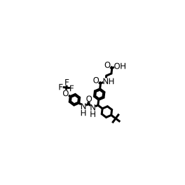 CC(C)(C)C1CCC(C(NC(=O)Nc2ccc(OC(F)(F)F)cc2)c2ccc(C(=O)NCCC(=O)O)cc2)CC1